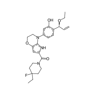 C=C[C@H](OCC)c1ccc(N2CCOc3cc(C(=O)N4CCC(F)(CC)CC4)[nH]c32)cc1O